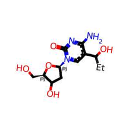 CCC(O)c1cn([C@H]2CC(O)[C@@H](CO)O2)c(=O)nc1N